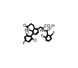 O=C1CCc2c(C[C@H](NC(=O)c3c(F)cccc3F)C(=O)O)ccc(-c3c(Cl)cc(F)cc3Cl)c2N1